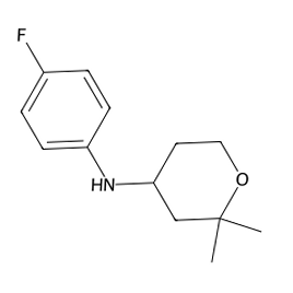 CC1(C)CC(Nc2ccc(F)cc2)CCO1